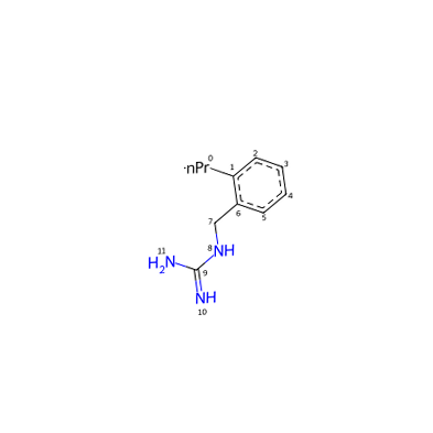 CC[CH]c1ccccc1CNC(=N)N